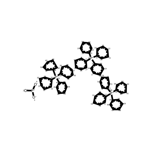 [O-]P([O-])[O-].c1ccc([P+](c2ccccc2)(c2ccccc2)c2ccccc2)cc1.c1ccc([P+](c2ccccc2)(c2ccccc2)c2ccccc2)cc1.c1ccc([P+](c2ccccc2)(c2ccccc2)c2ccccc2)cc1